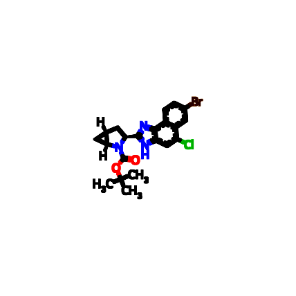 CC(C)(C)OC(=O)N1[C@@H]2C[C@@H]2C[C@H]1c1nc2c(cc(Cl)c3cc(Br)ccc32)[nH]1